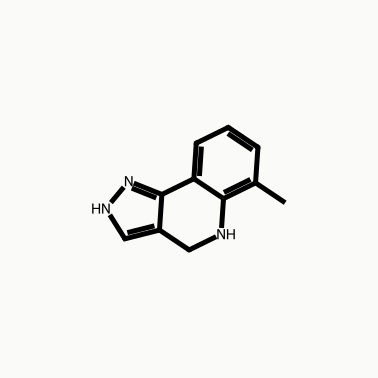 Cc1cccc2c1NCc1c[nH]nc1-2